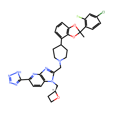 CC1(c2ccc(Cl)cc2F)Oc2cccc(C3CCN(Cc4nc5nc(-c6nnn[nH]6)ccc5n4C[C@@H]4CCO4)CC3)c2O1